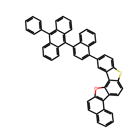 c1ccc(-c2c3ccccc3c(-c3ccc(-c4ccc5sc6ccc7c(oc8ccc9ccccc9c87)c6c5c4)c4ccccc34)c3ccccc23)cc1